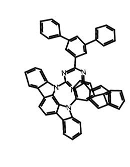 c1ccc(-c2cc(-c3ccccc3)cc(-c3nc(-c4ccccc4)nc(-n4c5ccccc5c5ccc6c7ccccc7n(-c7cccc(-c8ccccc8)c7)c6c54)n3)c2)cc1